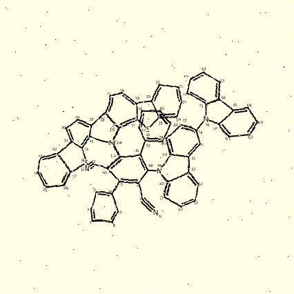 N#Cc1c(-c2ccccc2)c(C#N)c(-n2c3c(ccc4c5ccccc5sc43)c3ccc4c5ccccc5sc4c32)c(-c2ccccc2)c1-n1c2ccccc2c2cc(-n3c4ccccc4c4ccccc43)ccc21